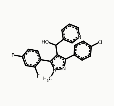 Cn1nc(-c2ccc(Cl)cc2)c(C(O)c2cccnc2)c1-c1ccc(F)cc1F